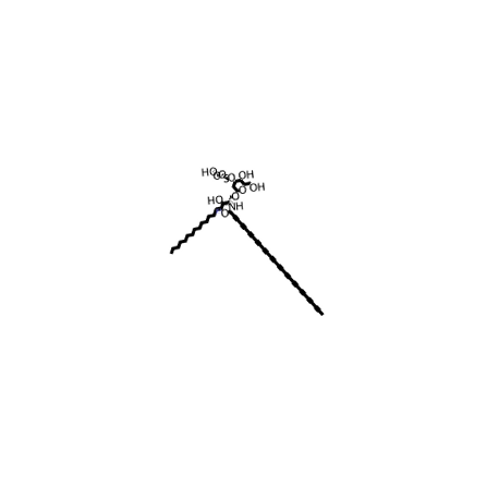 CC#CC#CC#CC#CC#CC#CC#CC#CC#CC#CC#CC#CC(=O)N[C@@H](COC1CC(OSOOO)C(O)C(CO)O1)[C@H](O)/C=C/CCCCCCCCCCCCC